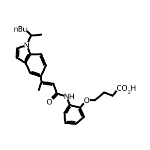 CCCCC(C)n1ccc2cc(/C(C)=C/C(=O)Nc3ccccc3OCCCC(=O)O)ccc21